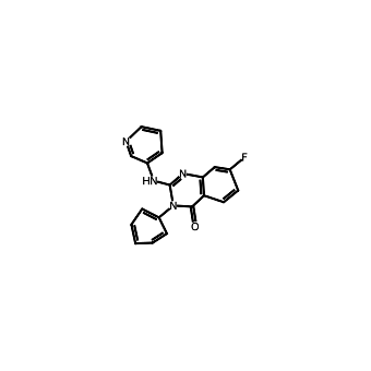 O=c1c2ccc(F)cc2nc(Nc2cccnc2)n1-c1ccccc1